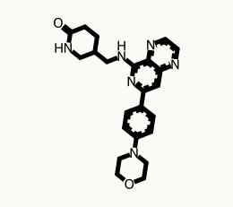 O=C1CCC(CNc2nc(-c3ccc(N4CCOCC4)cc3)cc3nccnc23)CN1